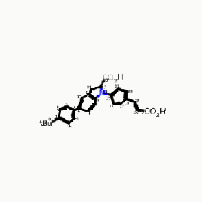 CC(C)(C)c1ccc(-c2ccc3c(c2)CC(C(=O)O)N3c2ccc(C=CC(=O)O)cc2)cc1